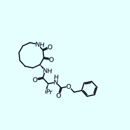 CC(C)[C@H](NC(=O)OCc1ccccc1)C(=O)N[C@H]1CCCCCCNC(=O)C1=O